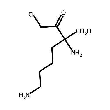 NCCCCC(N)(C(=O)O)C(=O)CCl